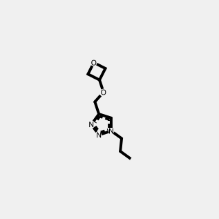 CCCn1cc(COC2COC2)nn1